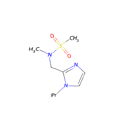 CC(C)n1ccnc1CN(C)S(C)(=O)=O